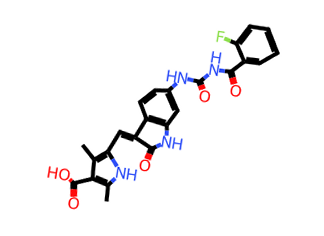 Cc1[nH]c(C=C2C(=O)Nc3cc(NC(=O)NC(=O)c4ccccc4F)ccc32)c(C)c1C(=O)O